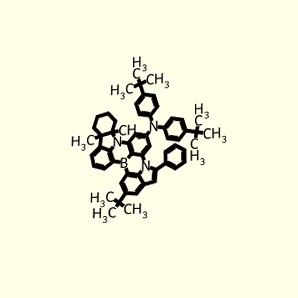 CC(C)(C)c1ccc(N(c2ccc(C(C)(C)C)cc2)c2cc3c4c(c2)-n2c(-c5ccccc5)cc5cc(C(C)(C)C)cc(c52)B4c2cccc4c2N3C2(C)CCCCC42C)cc1